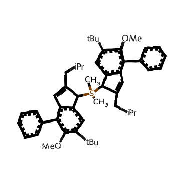 COc1c(C(C)(C)C)cc2c(c1-c1ccccc1)C=C(CC(C)C)C2S(C)(C)C1C(CC(C)C)=Cc2c1cc(C(C)(C)C)c(OC)c2-c1ccccc1